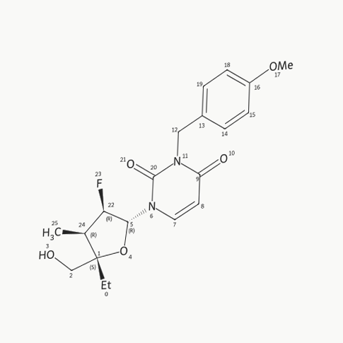 CC[C@]1(CO)O[C@@H](n2ccc(=O)n(Cc3ccc(OC)cc3)c2=O)[C@H](F)[C@@H]1C